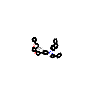 CC1CC=C(c2ccccc2)Oc2ccc3oc4ccc(-c5ccc(N(c6cccc(-c7ccccc7)c6)c6ccc7c(ccc8ccccc87)c6)cc5)cc4c3c21